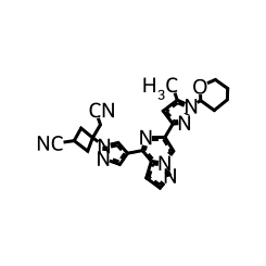 Cc1cc(-c2cn3nccc3c(-c3cnn(C4(CC#N)CC(C#N)C4)c3)n2)nn1C1CCCCO1